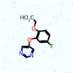 O=C(O)COc1ccc(F)cc1Oc1cncnc1